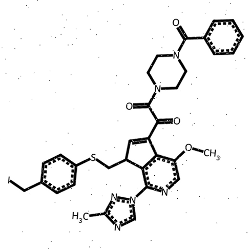 COc1cnc(-n2cnc(C)n2)c2c1C(C(=O)C(=O)N1CCN(C(=O)c3ccccc3)CC1)=CC2CSc1ccc(CI)cc1